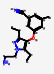 CCc1nn(CCN)c(CC)c1Oc1cc(C)cc(C#N)c1